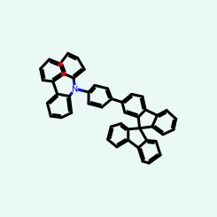 c1ccc(-c2ccccc2N(c2ccccc2)c2ccc(-c3ccc4c(c3)C3(c5ccccc5-c5ccccc53)c3ccccc3-4)cc2)cc1